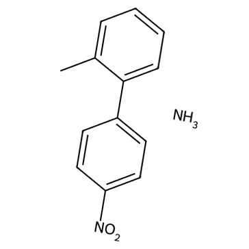 Cc1ccccc1-c1ccc([N+](=O)[O-])cc1.N